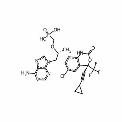 C[C@H](Cn1cnc2c(N)ncnc21)OCP(=O)(O)O.O=C1Nc2ccc(Cl)cc2[C@@](C#CC2CC2)(C(F)(F)F)O1